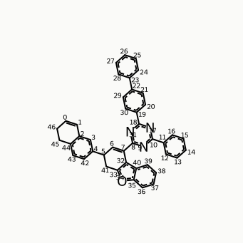 C1=Cc2cc(C3C=C(c4nc(-c5ccccc5)nc(-c5ccc(-c6ccccc6)cc5)n4)c4c(oc5ccccc45)C3)ccc2CC1